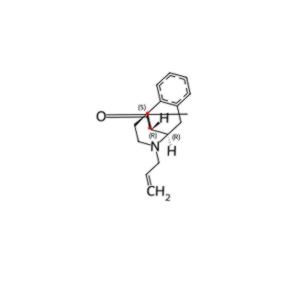 C=CCN1CC[C@]23CC(=O)CC[C@H]2[C@H]1Cc1ccccc13